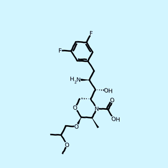 COC(C)CO[C@H]1OC[C@H]([C@@H](O)[C@@H](N)Cc2cc(F)cc(F)c2)N(C(=O)O)[C@H]1C